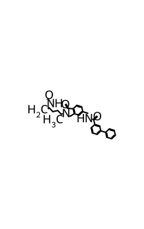 C=C(CCC(C)N1Cc2cc(CNC(=O)c3cccc(-c4ccccc4)c3)ccc2C1=O)NC=O